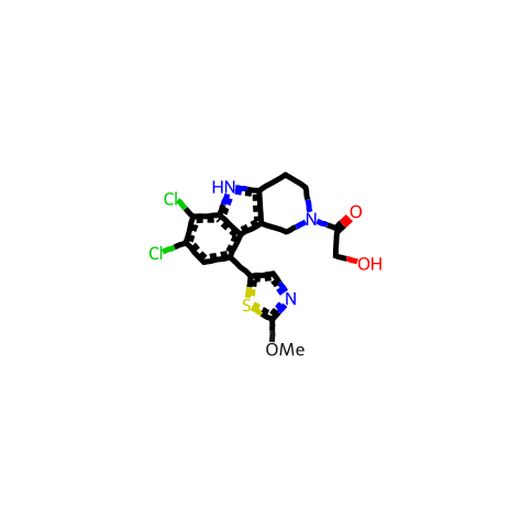 COc1ncc(-c2cc(Cl)c(Cl)c3[nH]c4c(c23)CN(C(=O)CO)CC4)s1